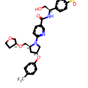 CCS(=O)(=O)c1ccc([C@H](CO)NC(=O)c2ccc(N3C[C@H](Oc4ccc(C(F)(F)F)cc4)C[C@H]3CO[C@H]3CCOC3)nc2)cc1